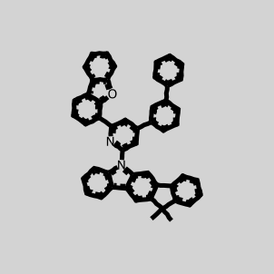 CC1(C)c2ccccc2-c2cc3c(cc21)c1ccccc1n3-c1cc(-c2cccc(-c3ccccc3)c2)cc(-c2cccc3c2oc2ccccc23)n1